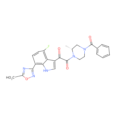 C[C@@H]1CN(C(=O)c2ccccc2)CCN1C(=O)C(=O)c1c[nH]c2c(-c3noc(C(=O)O)n3)ccc(F)c12